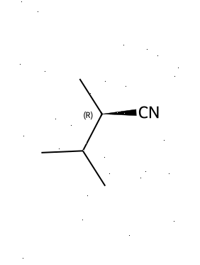 CC(C)[C@@H](C)C#N